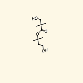 CC(C)(CCO)OC(=O)C(C)(C)CO